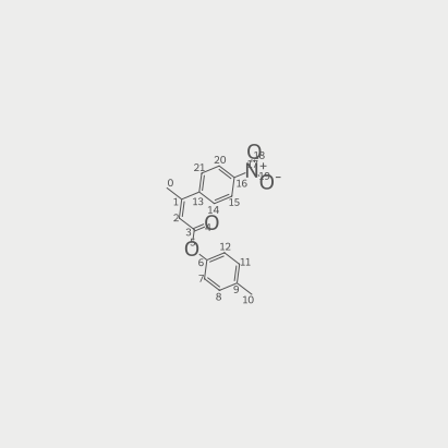 CC(=CC(=O)Oc1ccc(C)cc1)c1ccc([N+](=O)[O-])cc1